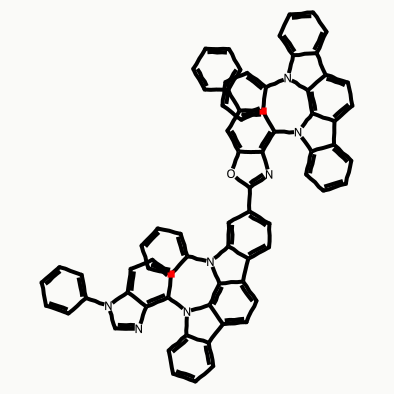 c1ccc(-c2cc(-n3c4ccccc4c4ccc5c6ccccc6n(-c6ccccc6)c5c43)c3nc(-c4ccc5c6ccc7c8ccccc8n(-c8cccc9c8ncn9-c8ccccc8)c7c6n(-c6ccccc6)c5c4)oc3c2)cc1